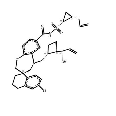 C=CC[C@H]1C[C@H]1S(=O)(=O)NC(=O)c1ccc2c(c1)N(C[C@@H]1CC[C@H]1[C@@H](O)C=C)C[C@@]1(CCCc3cc(Cl)ccc31)CO2